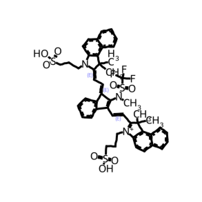 CN(C1=C(/C=C/C2=[N+](CCCS(=O)(=O)O)c3ccc4ccccc4c3C2(C)C)c2ccccc2/C1=C\C=C1\N(CCCS(=O)(=O)O)c2ccc3ccccc3c2C1(C)C)S(=O)(=O)C(F)(F)F